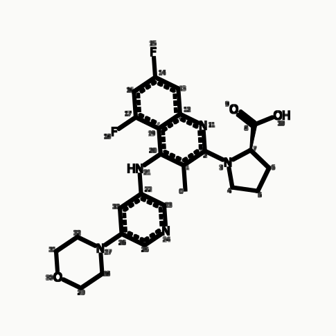 Cc1c(N2CCC[C@@H]2C(=O)O)nc2cc(F)cc(F)c2c1Nc1cncc(N2CCOCC2)c1